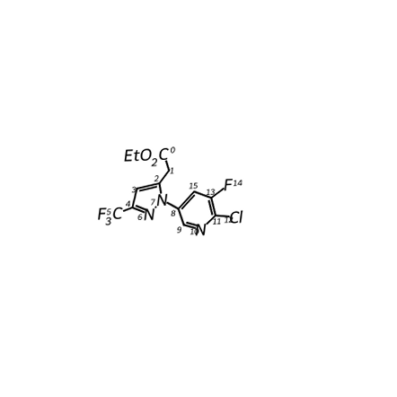 CCOC(=O)Cc1cc(C(F)(F)F)nn1-c1cnc(Cl)c(F)c1